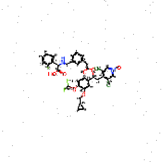 O=C(Cc1cccc(CNC(C(=O)O)c2ccccc2F)c1)O[C@@H](Cc1c(Cl)c[n+]([O-])cc1Cl)c1ccc(OC(F)F)c(OCC2CC2)c1